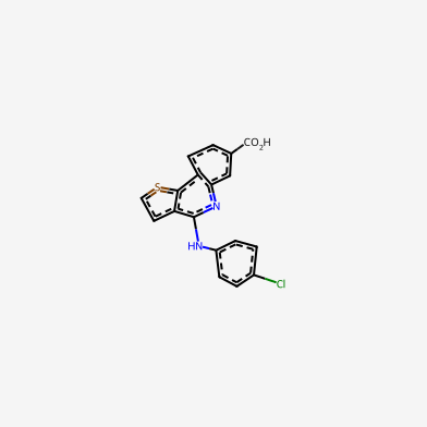 O=C(O)c1ccc2c(c1)nc(Nc1ccc(Cl)cc1)c1ccsc12